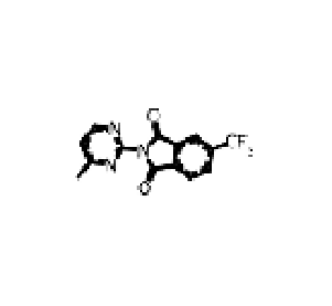 Cc1ccnc(N2C(=O)c3ccc(C(F)(F)F)cc3C2=O)n1